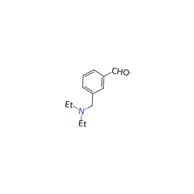 CCN(CC)Cc1cccc([C]=O)c1